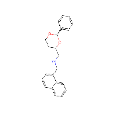 c1ccc([C@@H]2OCCC(CNCc3cccc4ccccc34)O2)cc1